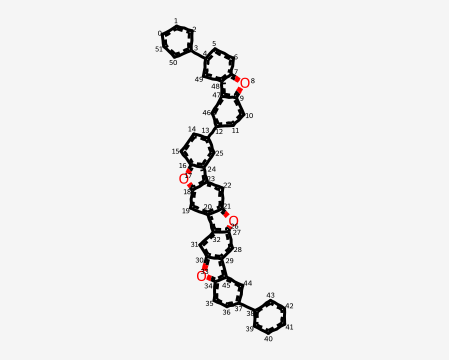 c1ccc(-c2ccc3oc4ccc(-c5ccc6oc7cc8c(cc7c6c5)oc5cc6c(cc58)oc5ccc(-c7ccccc7)cc56)cc4c3c2)cc1